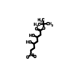 CC(C)(C)OC(=O)CC(O)CC(O)CC[N+](=O)[O-]